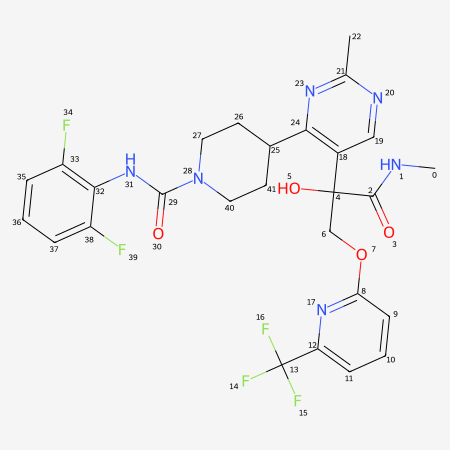 CNC(=O)C(O)(COc1cccc(C(F)(F)F)n1)c1cnc(C)nc1C1CCN(C(=O)Nc2c(F)cccc2F)CC1